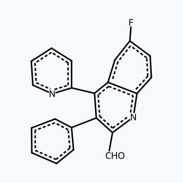 O=Cc1nc2ccc(F)cc2c(-c2ccccn2)c1-c1ccccc1